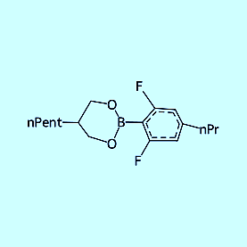 CCCCCC1COB(c2c(F)cc(CCC)cc2F)OC1